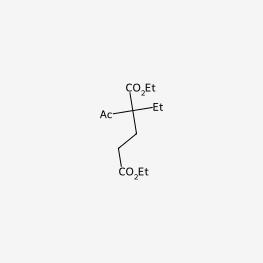 CCOC(=O)CCC(CC)(C(C)=O)C(=O)OCC